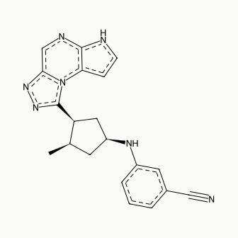 C[C@@H]1C[C@H](Nc2cccc(C#N)c2)C[C@@H]1c1nnc2cnc3[nH]ccc3n12